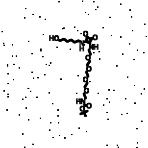 CC(C)(C)OC(=O)NCCOCCOCCOCCOCCNc1c(NCCCCCCO)c(=O)c1=O